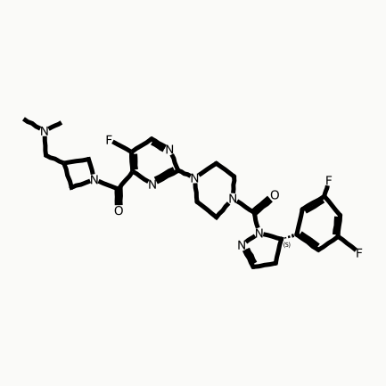 CN(C)CC1CN(C(=O)c2nc(N3CCN(C(=O)N4N=CC[C@H]4c4cc(F)cc(F)c4)CC3)ncc2F)C1